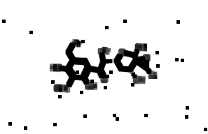 CCCC(C(=O)c1cc(CC(C)C)c(O)c(C=O)c1O)[C@H]1C[C@@H](O)C2(O[C@H]2CC)[C@H](O)O1